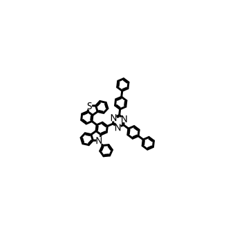 c1ccc(-c2ccc(-c3nc(-c4ccc(-c5ccccc5)cc4)nc(-c4cc(-c5cccc6sc7ccccc7c56)c5c6ccccc6n(-c6ccccc6)c5c4)n3)cc2)cc1